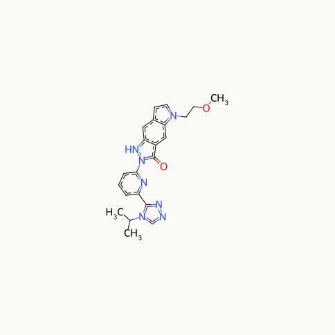 COCCn1ccc2cc3[nH]n(-c4cccc(-c5nncn5C(C)C)n4)c(=O)c3cc21